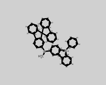 CN(c1ccc2c(c1)C1(c3ccccc3-c3ccccc31)c1ccccc1-2)c1ccc2c(c1)c1ccccc1n2-c1ccccc1